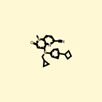 Cn1c(=O)cc(N(CC2CC2)c2ccc(C3CCC3)cc2)c2nc(C#N)ccc21